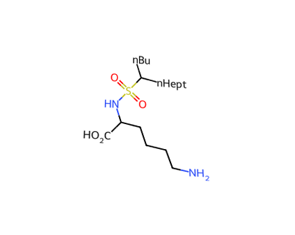 CCCCCCCC(CCCC)S(=O)(=O)NC(CCCCN)C(=O)O